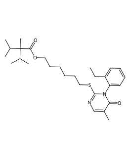 CCc1ccccc1-n1c(SCCCCCCOC(=O)C(C)(C(C)C)C(C)C)ncc(C)c1=O